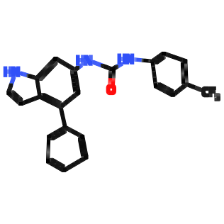 O=C(Nc1ccc(C(F)(F)F)cc1)Nc1cc(-c2ccccc2)c2cc[nH]c2c1